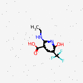 CCNc1nc(O)c(C(F)(F)F)cc1C(=O)O